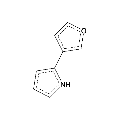 c1c[nH]c(-c2ccoc2)c1